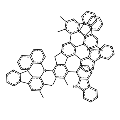 Cc1cc2c(c(-c3cc4c(c(-c5cccc6c5[nH]c5ccccc56)c3-c3c(C)c(C)cc5c3Cc3ccccc3-5)-c3c(c(N(c5c(C)c(C)cc6c5Cc5ccccc5-6)c5cccc6ccccc56)c(C)c(C)c3-c3cccc5c3[nH]c3ccccc35)C4)c1C)Cc1ccccc1-2